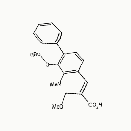 CCCCOc1c(-c2ccccc2)ccc(C=C(COC)C(=O)O)c1NC